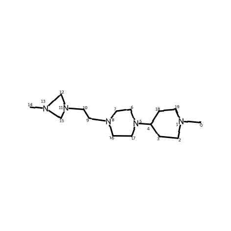 CN1CCC(N2CCN(CCN3CN(C)C3)CC2)CC1